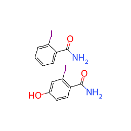 NC(=O)c1ccc(O)cc1I.NC(=O)c1ccccc1I